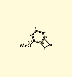 COc1[c]ccc2c1CC2